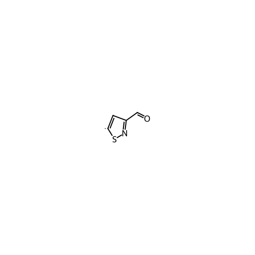 O=Cc1c[c]sn1